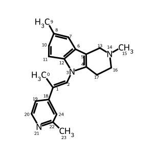 C/C(=C\n1c2c(c3cc(C)ccc31)CN(C)CC2)c1ccnc(C)c1